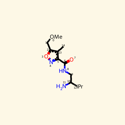 COCc1onc(C(=O)NCC(N)C(C)C)c1C